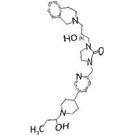 CCC(O)N1CCC(c2ccc(CN3CCN(C[C@H](O)CN4CCc5ccccc5C4)C3=O)nc2)CC1